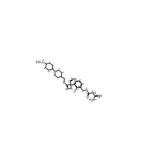 CCOC(=O)C1CCC(N2CCC(COC3=NCC3(C=N)c3cccc(COC(=O)NC(=N)N)c3F)CC2)CC1